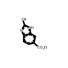 CCOC(=O)c1ccc2nc(C#N)[nH]c2c1